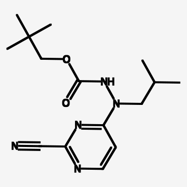 CC(C)CN(NC(=O)OCC(C)(C)C)c1ccnc(C#N)n1